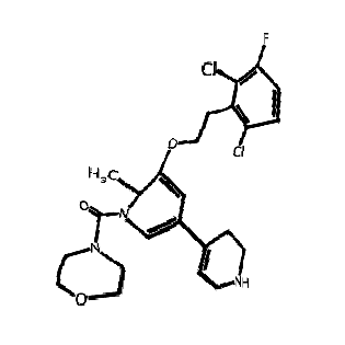 CC1C(OCCc2c(Cl)ccc(F)c2Cl)=CC(C2=CCNCC2)=CN1C(=O)N1CCOCC1